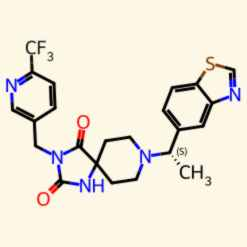 C[C@@H](c1ccc2scnc2c1)N1CCC2(CC1)NC(=O)N(Cc1ccc(C(F)(F)F)nc1)C2=O